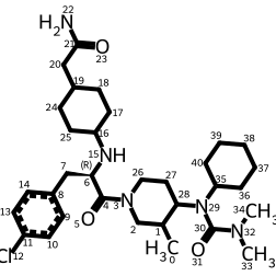 CC1CN(C(=O)[C@@H](Cc2ccc(Cl)cc2)NC2CCC(CC(N)=O)CC2)CCC1N(C(=O)N(C)C)C1CCCCC1